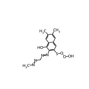 CN=NCN=Nc1c(SOOO)cc2cc(C)c(C)cc2c1O